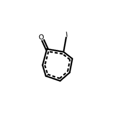 O=c1cccccc1I